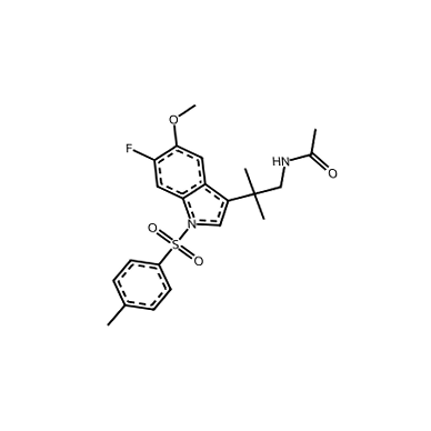 COc1cc2c(C(C)(C)CNC(C)=O)cn(S(=O)(=O)c3ccc(C)cc3)c2cc1F